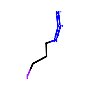 [N-]=[N+]=NCCCI